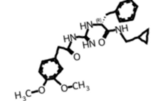 COc1ccc(CC(=O)NC(=N)N[C@H](Cc2ccccc2)C(=O)NCC2CC2)cc1OC